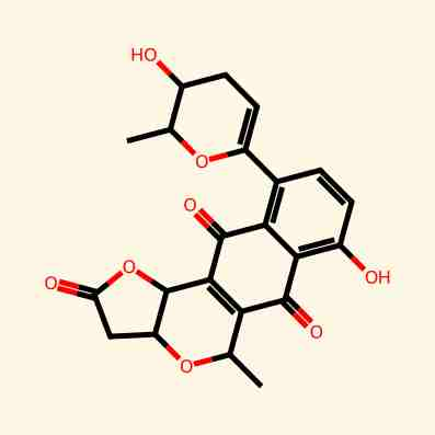 CC1OC2CC(=O)OC2C2=C1C(=O)c1c(O)ccc(C3=CCC(O)C(C)O3)c1C2=O